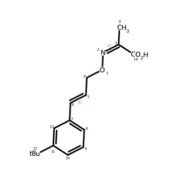 C/C(=N/OC/C=C/c1cccc(C(C)(C)C)c1)C(=O)O